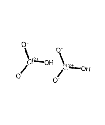 [O-][Cl+2]([O-])O.[O-][Cl+2]([O-])O